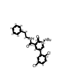 CCCCn1cc(-c2cc(Cl)ccc2Cl)cc(C(=O)NCCc2ccccc2)c1=O